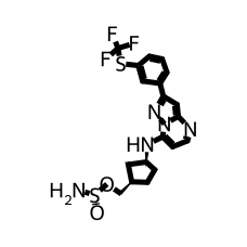 NS(=O)OC[C@@H]1CC[C@H](Nc2ccnc3cc(-c4cccc(SC(F)(F)F)c4)nn23)C1